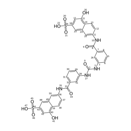 O=C(Nc1cccc(C(=O)Nc2ccc3c(O)cc(S(=O)(=O)O)cc3c2)c1)Nc1cccc(C(=O)Nc2ccc3c(O)cc(S(=O)(=O)O)cc3c2)c1